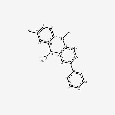 COc1ncc(-c2ccccc2)cc1C(O)c1cccc(C)c1